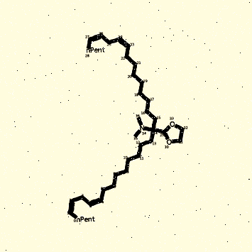 CCCCC/C=C\C/C=C\CCCCCCCCC(CCCCCCCC/C=C\C/C=C\CCCCC)(C1OCCO1)N(C)C